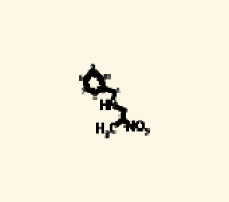 CC(CNCc1ccccc1)[N+](=O)[O-]